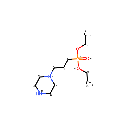 CCOP(=O)(CCCN1CCNCC1)OCC